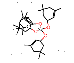 CC1=CC(O[Si](OC2C=C(C)CC(C)(C)C2)(OC2C=C(C)CC(C)(C)C2)OC2C=C(C)CC(C)(C)C2)CC(C)(C)C1